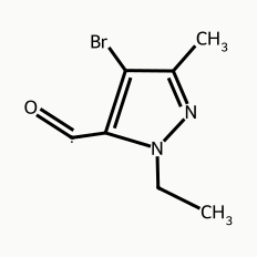 CCn1nc(C)c(Br)c1[C]=O